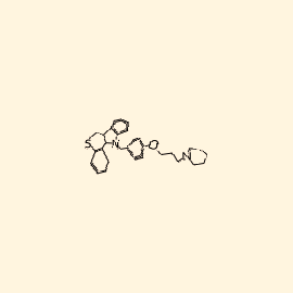 C1=CC2SCCC3c4ccccc4N(Cc4ccc(OCCCN5CCCCC5)cc4)C3C2CC1